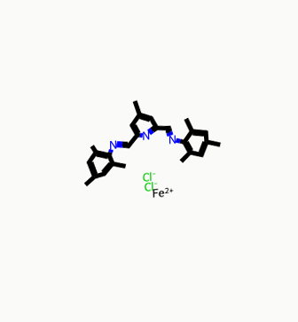 Cc1cc(C=Nc2c(C)cc(C)cc2C)nc(C=Nc2c(C)cc(C)cc2C)c1.[Cl-].[Cl-].[Fe+2]